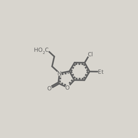 CCc1cc2oc(=O)n(CCC(=O)O)c2cc1Cl